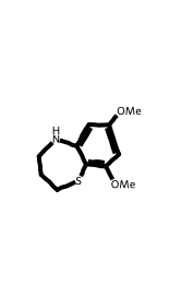 COc1cc2c(c(OC)c1)SCCCN2